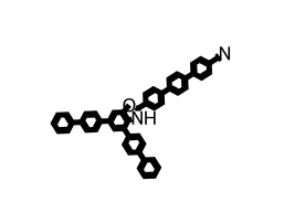 N#Cc1ccc(-c2ccc(-c3ccc(C4Nc5c(cc(-c6ccc(-c7ccccc7)cc6)cc5-c5ccc(-c6ccccc6)cc5)O4)cc3)cc2)cc1